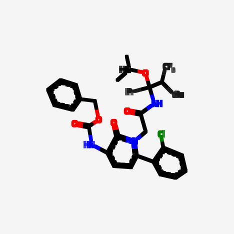 CC(C)C(NC(=O)Cn1c(-c2ccccc2Cl)ccc(NC(=O)OCc2ccccc2)c1=O)(O[SiH](C)C)C(C(C)(C)C)C(F)(F)F